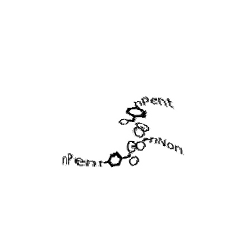 [CH2]CCCCCCCC[C](OOC(=O)c1ccc(CCCCC)cc1)OOC(=O)c1ccc(CCCCC)cc1